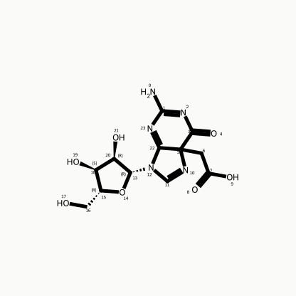 NC1=NC(=O)C2(CC(=O)O)N=CN([C@@H]3O[C@H](CO)[C@@H](O)[C@H]3O)C2=N1